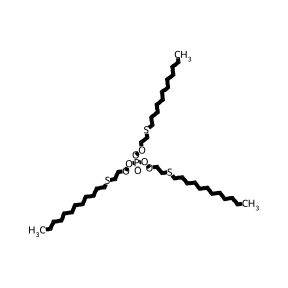 CCCCCCCCCCCCSCCOOP(=O)(OOCCSCCCCCCCCCCCC)OOCCSCCCCCCCCCCCC